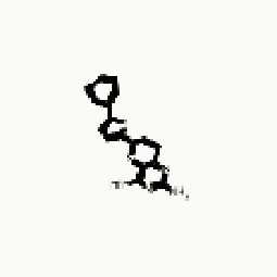 CCCc1nc(N)nc2ccc(-c3ccc(-c4ccccc4)s3)nc12